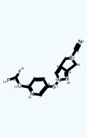 N#CB1Cc2cn(Sc3ccc(OC(F)F)nc3)nc2C1